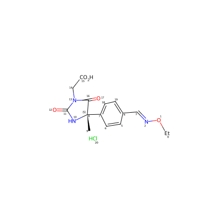 CCON=Cc1ccc([C@]2(C)NC(=O)N(CC(=O)O)C2=O)cc1.Cl